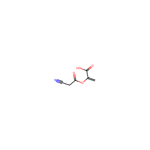 C=C(OC(=O)CC#N)C(=O)O